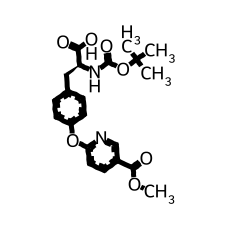 COC(=O)c1ccc(Oc2ccc(C[C@H](NC(=O)OC(C)(C)C)C(=O)O)cc2)nc1